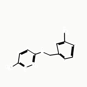 Nc1ccc(SCc2cccc(C(F)(F)F)c2)nn1